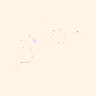 COc1ccc(S(=O)(=O)n2ccc3cc(Cl)ccc32)c(Br)c1